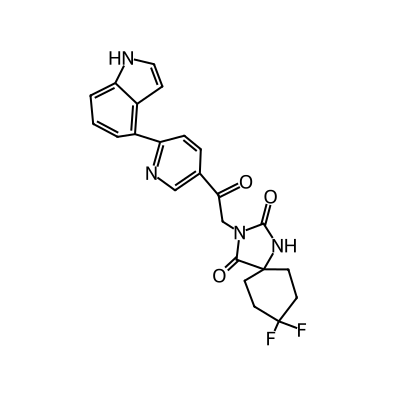 O=C(CN1C(=O)NC2(CCC(F)(F)CC2)C1=O)c1ccc(-c2cccc3[nH]ccc23)nc1